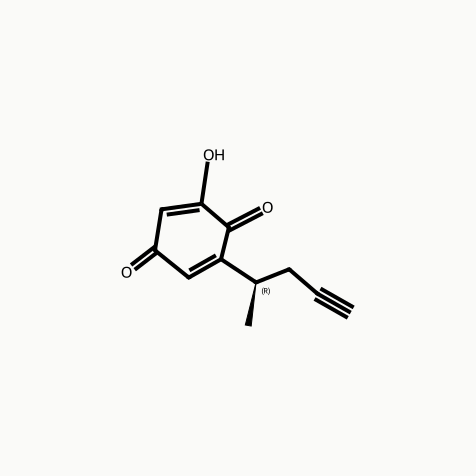 C#CC[C@@H](C)C1=CC(=O)C=C(O)C1=O